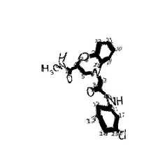 CNC(=O)C1CN(CC(=O)Nc2cccc(Cl)c2)c2ccccc2O1